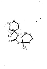 O=C(OC1(C(F)(F)F)CCCOC1)OC1(C(F)(F)F)CCCOC1